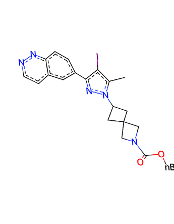 CCCCOC(=O)N1CC2(CC(n3nc(-c4ccc5nnccc5c4)c(I)c3C)C2)C1